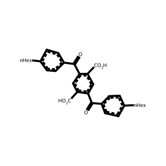 CCCCCCc1ccc(C(=O)c2cc(C(=O)O)c(C(=O)c3ccc(CCCCCC)cc3)cc2C(=O)O)cc1